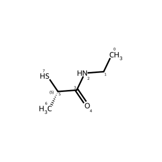 CCNC(=O)[C@H](C)S